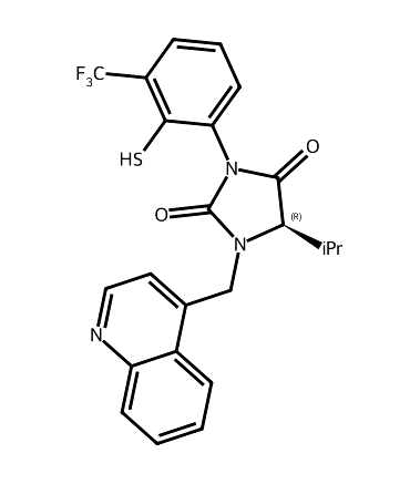 CC(C)[C@@H]1C(=O)N(c2cccc(C(F)(F)F)c2S)C(=O)N1Cc1ccnc2ccccc12